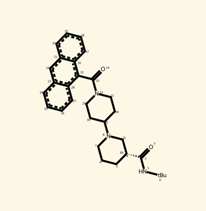 CC(C)(C)NC(=O)[C@@H]1CCCN(C2CCN(C(=O)c3c4ccccc4cc4ccccc34)CC2)C1